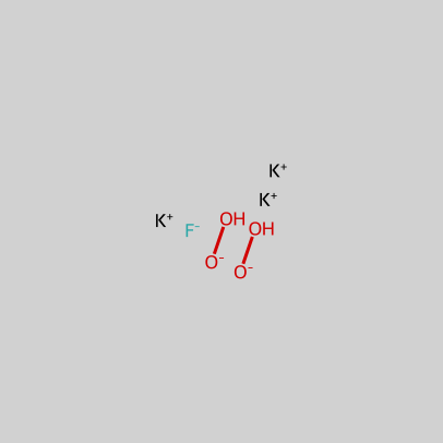 [F-].[K+].[K+].[K+].[O-]O.[O-]O